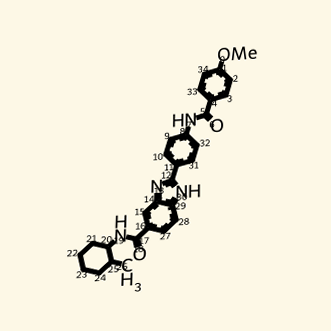 COc1ccc(C(=O)Nc2ccc(-c3nc4cc(C(=O)NC5CCCCC5C)ccc4[nH]3)cc2)cc1